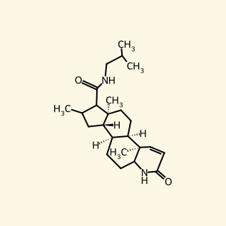 CC(C)CNC(=O)C1C(C)C[C@H]2[C@@H]3CCC4NC(=O)C=C[C@]4(C)[C@@H]3CC[C@]12C